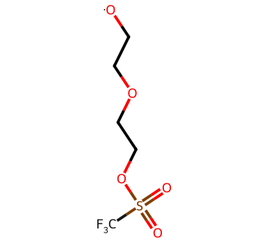 [O]CCOCCOS(=O)(=O)C(F)(F)F